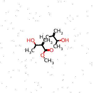 C=C(C(=O)OC)C(C)O.C=C(C)C(C)O